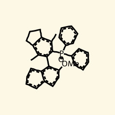 COc1ccc2ccccc2c1-c1c(C)c2c(c(C)c1P(=O)(c1ccccc1)c1ccccc1)CCC2